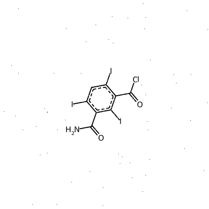 NC(=O)c1c(I)cc(I)c(C(=O)Cl)c1I